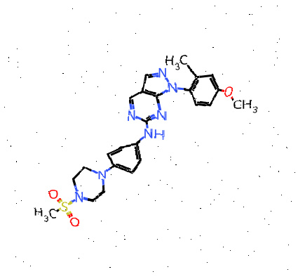 COc1ccc(-n2ncc3cnc(Nc4ccc(N5CCN(S(C)(=O)=O)CC5)cc4)nc32)c(C)c1